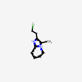 Cc1c(CCCl)nc2ccccn12